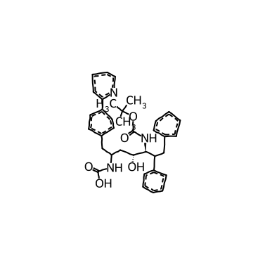 CC(C)(C)OC(=O)N[C@@H](C(Cc1ccccc1)c1ccccc1)[C@H](O)CC(Cc1ccc(-c2ccccn2)cc1)NC(=O)O